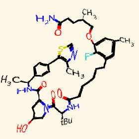 Cc1cc(CCCCCC(=O)N[C@H](C(=O)N2CC(O)C[C@H]2C(=O)N[C@@H](C)c2ccc(-c3scnc3C)cc2)C(C)(C)C)c(F)c(OC[C@@H](C)CCC(N)=O)c1